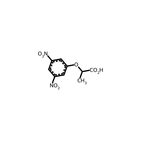 CC(Oc1cc([N+](=O)[O-])cc([N+](=O)[O-])c1)C(=O)O